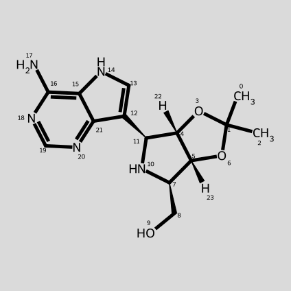 CC1(C)O[C@@H]2[C@H](O1)[C@@H](CO)N[C@H]2c1c[nH]c2c(N)ncnc12